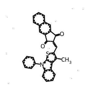 Cc1c(C=C2C(=O)c3cc4ccccc4cc3C2=O)sc2c1c1ccccc1n2-c1ccccc1